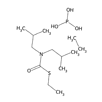 CC.CCSC(=O)N(CC(C)C)CC(C)C.OP(O)O